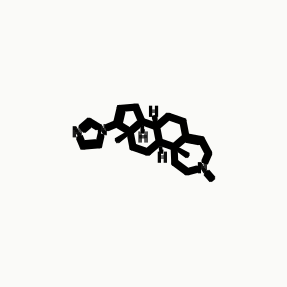 CN1CC=C2CC[C@@H]3[C@H](CC[C@]4(C)C(n5ccnc5)=CC[C@@H]34)[C@@]2(C)CC1